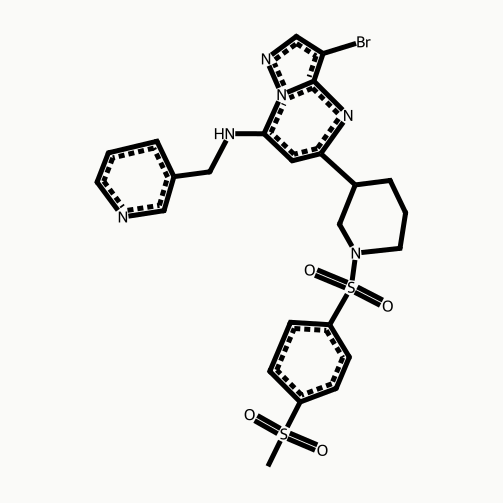 CS(=O)(=O)c1ccc(S(=O)(=O)N2CCCC(c3cc(NCc4cccnc4)n4ncc(Br)c4n3)C2)cc1